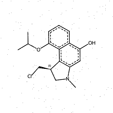 CC(C)Oc1cccc2c(O)cc3c(c12)[C@H](CCl)CN3C